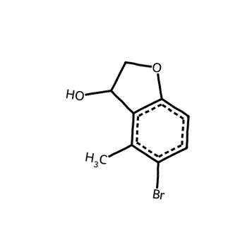 Cc1c(Br)ccc2c1C(O)CO2